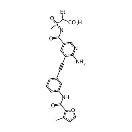 CCC(C(=O)O)S(C)(=O)=NC(=O)c1cnc(N)c(C#Cc2cccc(NC(=O)c3occc3C)c2)c1